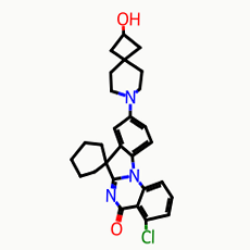 O=c1nc2n(c3cccc(Cl)c13)-c1ccc(N3CCC4(CC3)CC(O)C4)cc1C21CCCCC1